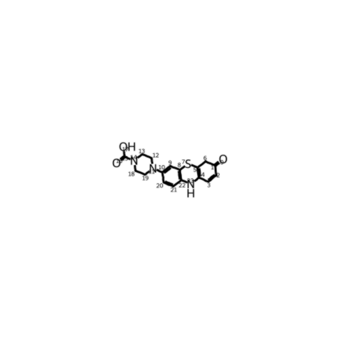 O=C1C=CC2=C(C1)Sc1cc(N3CCN(C(=O)O)CC3)ccc1N2